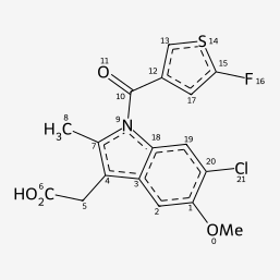 COc1cc2c(CC(=O)O)c(C)n(C(=O)c3csc(F)c3)c2cc1Cl